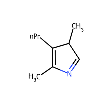 CCCC1=C(C)N=CC1C